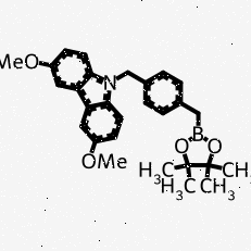 COc1ccc2c(c1)c1cc(OC)ccc1n2Cc1ccc(CB2OC(C)(C)C(C)(C)O2)cc1